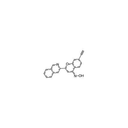 C#Cc1ccc2/c(=N\O)cc(-c3cc4ccccc4cn3)oc2c1